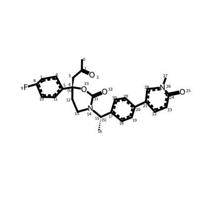 CC(=O)C[C@]1(c2ccc(F)cc2)CCN([C@@H](C)c2ccc(-c3ccc(=O)n(C)c3)cc2)C(=O)O1